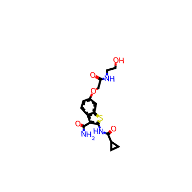 NC(=O)c1c(NC(=O)C2CC2)sc2cc(OCC(=O)NCCO)ccc12